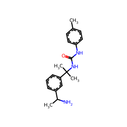 Cc1ccc(NC(=O)NC(C)(C)c2cccc(C(C)N)c2)cc1